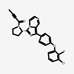 CC#CC(=O)N1CCC[C@H]1c1nc(-c2ccc(Oc3cccc(Cl)c3F)cc2)c2cnccn12